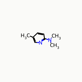 Cc1ccc(N(C)C)nc1